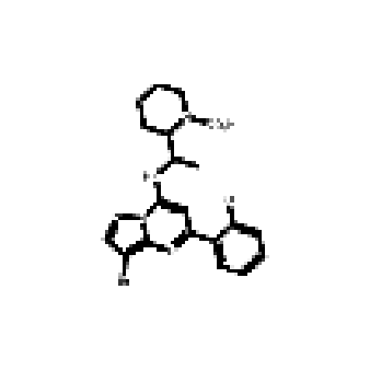 CC(Nc1cc(-c2ccccc2Cl)nc2c(Br)cnn12)C1CCCCN1C(=O)O